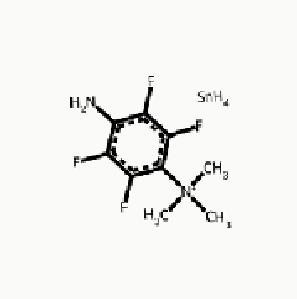 C[N+](C)(C)c1c(F)c(F)c(N)c(F)c1F.[SnH4]